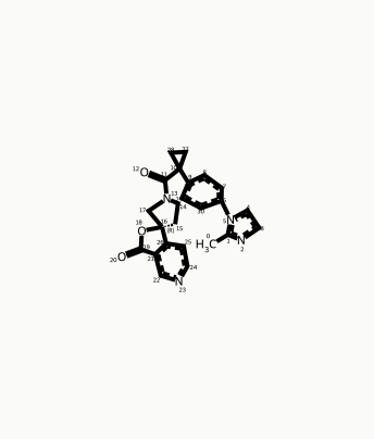 Cc1nccn1-c1ccc(C2(C(=O)N3CC[C@@]4(C3)OC(=O)c3cnccc34)CC2)cc1